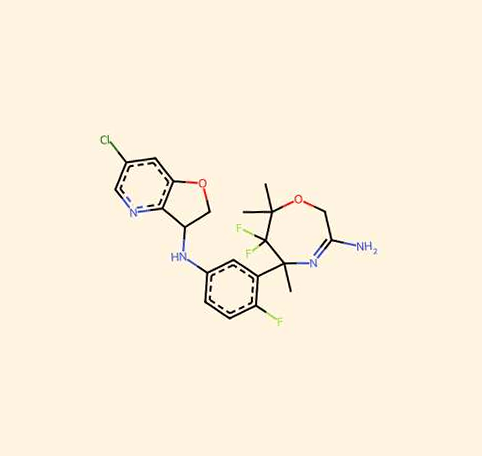 CC1(C)OCC(N)=NC(C)(c2cc(NC3COc4cc(Cl)cnc43)ccc2F)C1(F)F